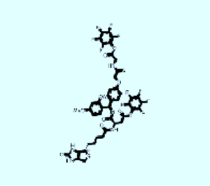 COc1ccc(C(NC(=O)C(CC(=O)Oc2c(F)c(F)c(F)c(F)c2F)NC(=O)CCCC[C@@H]2SCC3NC(=O)NC32)c2ccc(OCC(=O)NCC(=O)Oc3c(F)c(F)c(F)c(F)c3F)cc2)c(OC)c1